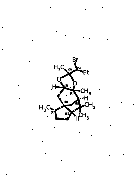 CC[C@H](Br)[C@@]1(C)O[C@H]2C[C@@]34C[C@H](C(C)(C)[C@@H]3CC[C@H]4C)[C@@]2(C)O1